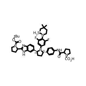 CC1(C)CCN(c2c(F)cc(N3[C@H](c4ccc(NC(=O)C5CCCN5C(=O)O)cc4)CC[C@H]3c3ccc4nc(C5CCCN5C(=O)OC(C)(C)C)[nH]c4c3)cc2F)[SiH2]C1